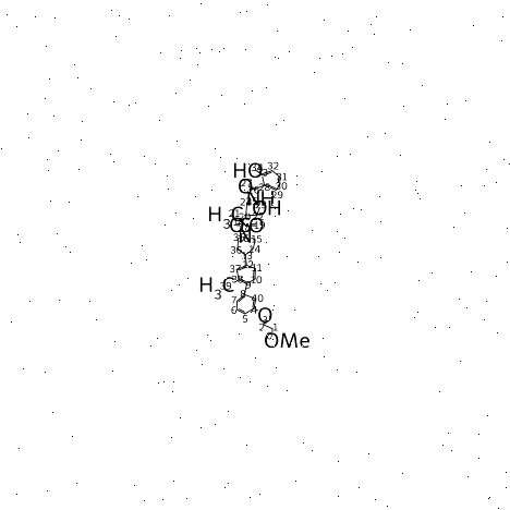 COCCOc1cccc(-c2ccc(C3CCN(S(=O)(=O)C(C)(CO)CNC(=O)c4ccccc4O)CC3)cc2C)c1